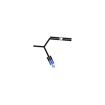 C=C=CC(C)C#N